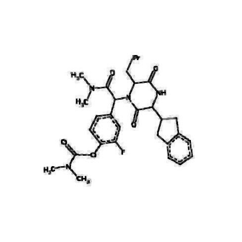 CC(C)CC1C(=O)NC(C2Cc3ccccc3C2)C(=O)N1C(C(=O)N(C)C)c1ccc(OC(=O)N(C)C)c(F)c1